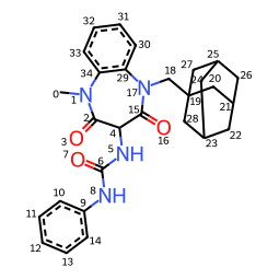 CN1C(=O)C(NC(=O)Nc2ccccc2)C(=O)N(CC23CC4CC(CC(C4)C2)C3)c2ccccc21